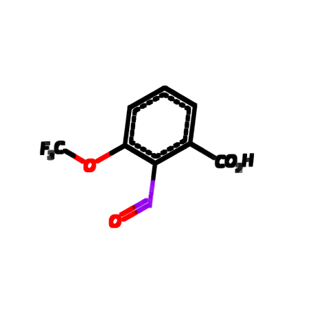 O=Ic1c(OC(F)(F)F)cccc1C(=O)O